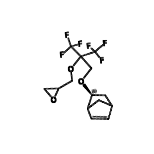 FC(F)(F)C(CO[C@H]1CC2C=CC1C2)(OCC1CO1)C(F)(F)F